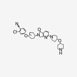 N#Cc1ccc(O[C@H]2CC[C@H](N3Cc4nc(N5CCC(OC6CCNCC6)CC5)ccc4C3=O)CC2)cc1Cl